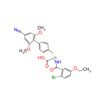 CCOc1ccc(Br)c(C(=O)N[C@@H](Cc2ccc(-c3c(OC)cc(C#N)cc3OC)cc2)C(=O)O)c1